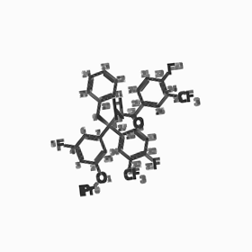 CC(C)Oc1cc(F)cc([C@](Cc2ccccc2)(NC(=O)c2ccc(F)c(C(F)(F)F)c2)c2ccc(F)c(C(F)(F)F)c2)c1